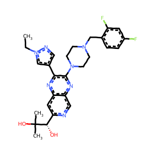 CCn1cc(-c2nc3cc([C@H](O)C(C)(C)O)ncc3nc2N2CCN(Cc3ccc(F)cc3F)CC2)cn1